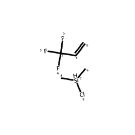 C=CC(F)(F)F.C[SiH](C)Cl